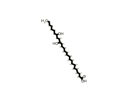 CCCCCCCC(O)CCC(O)CCCCCCCCCCCCCCCCC(=O)O